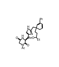 CCC(CCC1(Cc2nc(/C=C3\NC(=O)CN(C(C)=O)C3=O)c[nH]2)C=C(C(C)C)C=CC1)OC